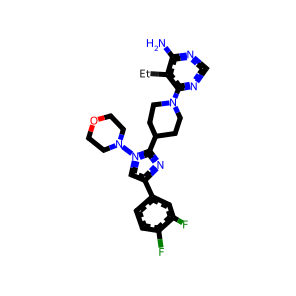 CCc1c(N)ncnc1N1CCC(c2nc(-c3ccc(F)c(F)c3)cn2N2CCOCC2)CC1